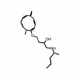 C=C1/C=C\C=C(\OCCC(O)CNC(C)CCC)C(C)CC/C=C\1